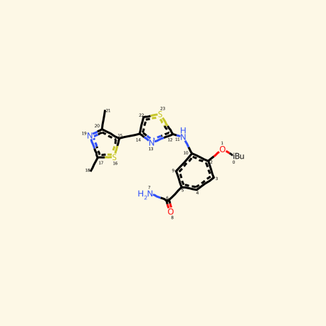 CCC(C)Oc1ccc(C(N)=O)cc1Nc1nc(-c2sc(C)nc2C)cs1